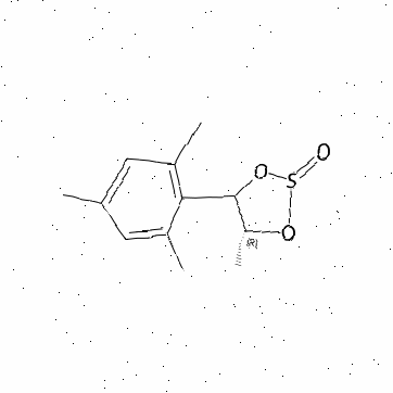 Cc1cc(C)c(C2OS(=O)O[C@@H]2C)c(C)c1